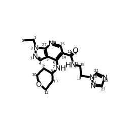 CCn1ncc2c(NC3CCOCC3)c(C(=O)NCCn3cncn3)cnc21